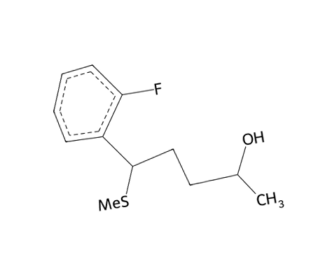 CSC(CCC(C)O)c1ccccc1F